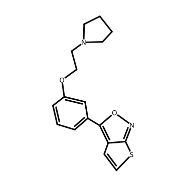 c1cc(OCCN2CCCC2)cc(-c2onc3sccc23)c1